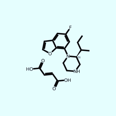 CCC(C)[C@H]1CNCCN1c1cc(F)cc2ccoc12.O=C(O)C=CC(=O)O